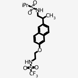 CC(CNS(=O)(=O)C(C)C)c1ccc2cc(OCCNS(=O)(=O)C(F)(F)F)ccc2c1